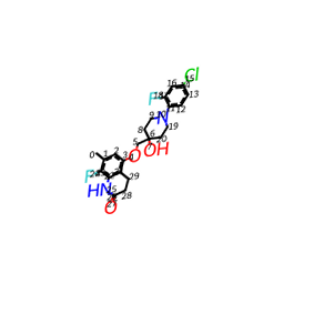 Cc1cc(OCC2(O)CCN(c3ccc(Cl)cc3F)CC2)c2c(c1F)NC(=O)CC2